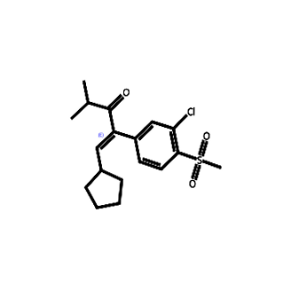 CC(C)C(=O)/C(=C/C1CCCC1)c1ccc(S(C)(=O)=O)c(Cl)c1